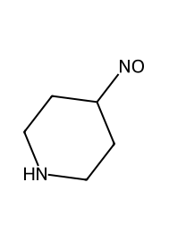 O=NC1CCNCC1